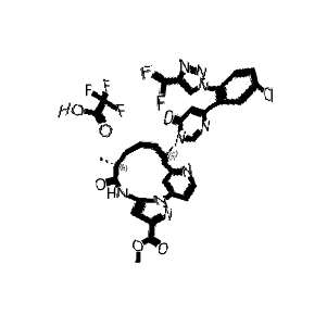 COC(=O)c1cc2n(n1)-c1ccnc(c1)[C@@H](n1cnc(-c3cc(Cl)ccc3-n3cc(C(F)F)nn3)cc1=O)CCC[C@@H](C)C(=O)N2.O=C(O)C(F)(F)F